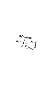 NC(=O)C(N)(C=O)c1cccnc1